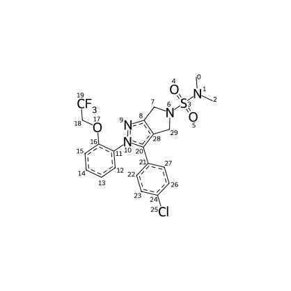 CN(C)S(=O)(=O)N1Cc2nn(-c3ccccc3OCC(F)(F)F)c(-c3ccc(Cl)cc3)c2C1